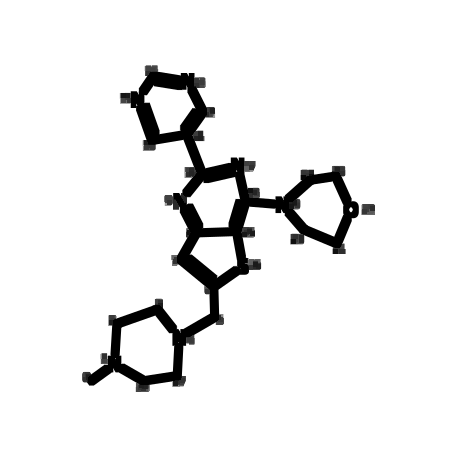 CN1CCN(Cc2cc3nc(-c4cncnc4)nc(N4CCOCC4)c3s2)CC1